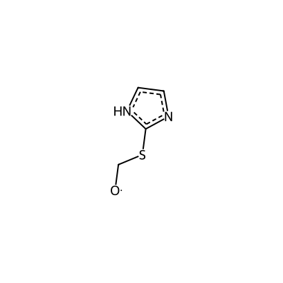 [O]CSc1ncc[nH]1